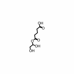 O=C(O)CCCC(=O)OC(O)CO